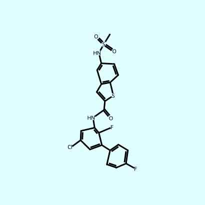 CS(=O)(=O)Nc1ccc2sc(C(=O)Nc3cc(Cl)cc(-c4ccc(F)cc4)c3F)cc2c1